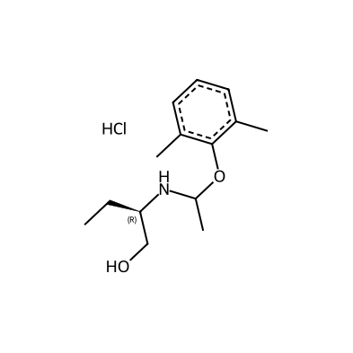 CC[C@H](CO)NC(C)Oc1c(C)cccc1C.Cl